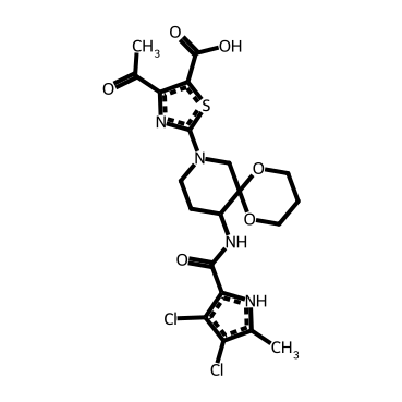 CC(=O)c1nc(N2CCC(NC(=O)c3[nH]c(C)c(Cl)c3Cl)C3(C2)OCCCO3)sc1C(=O)O